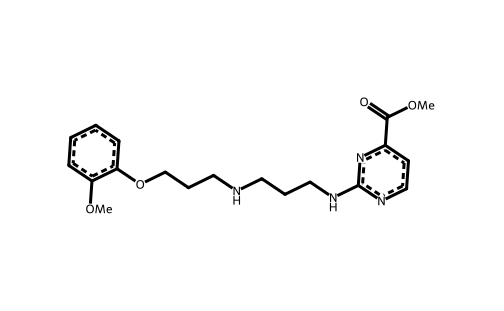 COC(=O)c1ccnc(NCCCNCCCOc2ccccc2OC)n1